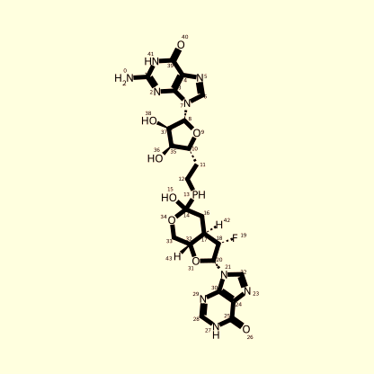 Nc1nc2c(ncn2[C@@H]2O[C@H](CCPC3(O)C[C@H]4[C@H](F)[C@H](n5cnc6c(=O)[nH]cnc65)O[C@@H]4CO3)[C@@H](O)[C@H]2O)c(=O)[nH]1